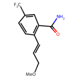 COCC=Cc1ccc(C(F)(F)F)cc1C(N)=O